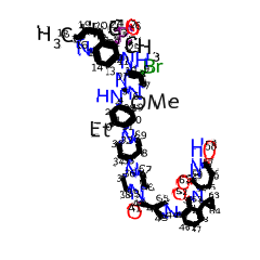 CCc1cc(Nc2ncc(Br)c(Nc3ccc4nc(C)ccc4c3P(C)(C)=O)n2)c(OC)cc1N1CCC(N2CCN(C(=O)C3CN(c4cccc5c4C(=O)N(C4CCC(=O)NC4=O)C54CC4)C3)CC2)CC1